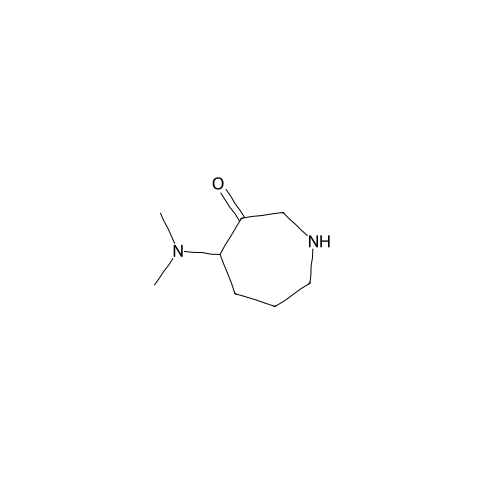 CN(C)C1CCCNCC1=O